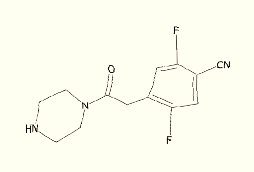 N#Cc1cc(F)c(CC(=O)N2CCNCC2)cc1F